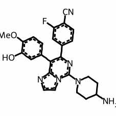 COc1ccc(-c2c(-c3ccc(C#N)c(F)c3)nc(N3CCC(N)CC3)n3ccnc23)cc1O